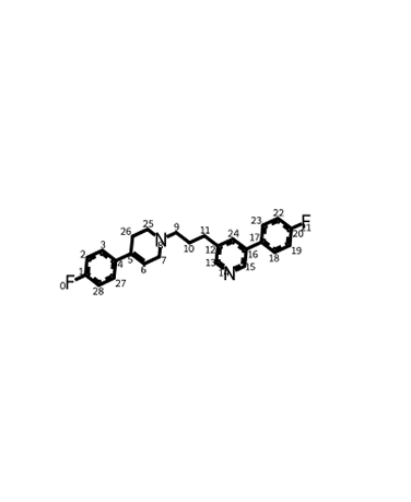 Fc1ccc(C2=CCN(CCCc3cncc(-c4ccc(F)cc4)c3)CC2)cc1